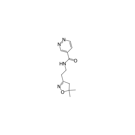 CC1(C)CC(CCNC(=O)c2ccnnc2)=NO1